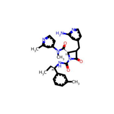 CC[C@@H](NC(=O)N1C(=O)C(Cc2ccnc(N)c2)[C@H]1C(=O)N(C)c1ccnc(C)c1)c1cccc(C)c1